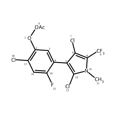 CC(=O)OOc1cc(-c2c(Cl)c(C(F)(F)F)n(C)c2Cl)c(F)cc1Cl